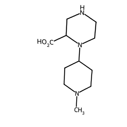 CN1CCC(N2CCNCC2C(=O)O)CC1